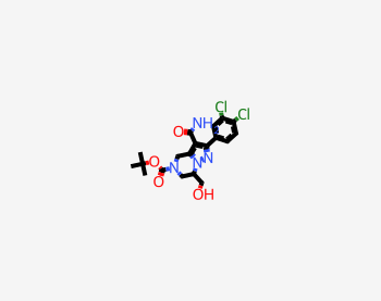 CC(C)(C)OC(=O)N1Cc2c(C(N)=O)c(-c3ccc(Cl)c(Cl)c3)nn2C(CO)C1